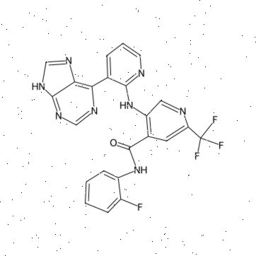 O=C(Nc1ccccc1F)c1cc(C(F)(F)F)ncc1Nc1ncccc1-c1ncnc2[nH]cnc12